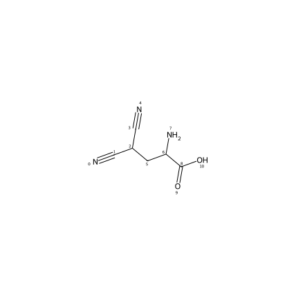 N#CC(C#N)CC(N)C(=O)O